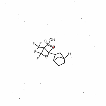 O=S(=O)(O)C(C(F)(F)F)(C(F)(F)F)C(F)(F)C1C[C@@H]2CCC1C2